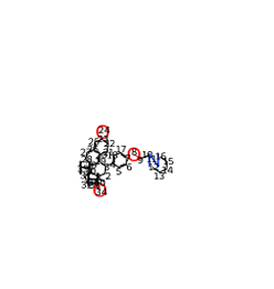 C[C@]12C[C@H](c3ccc(OCCN4CCCCC4)cc3)C3=C4CCC(=O)C=C4CC[C@H]3[C@@H]1CCC2=O